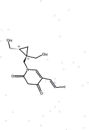 O=C1CC(=O)N(C[C@]2(CO)C[C@H]2CO)C=C1/C=C/I